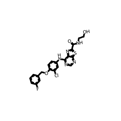 O=C(NCCO)c1nc2c(Nc3ccc(OCc4cccc(F)c4)c(Cl)c3)ncnc2s1